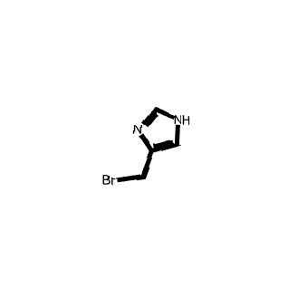 BrCc1[c][nH]cn1